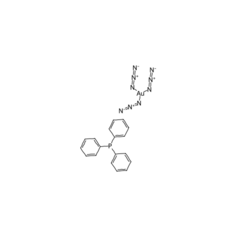 [N-]=[N+]=[N][Au]([N]=[N+]=[N-])[N]=[N+]=[N-].c1ccc(P(c2ccccc2)c2ccccc2)cc1